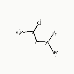 CC(C)N(CC(P)Cl)C(C)C